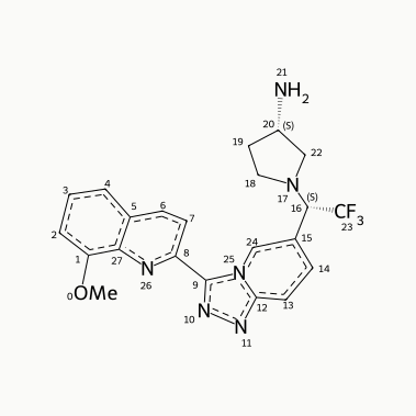 COc1cccc2ccc(-c3nnc4ccc([C@H](N5CC[C@H](N)C5)C(F)(F)F)cn34)nc12